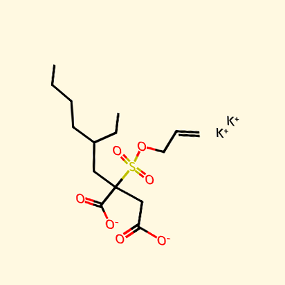 C=CCOS(=O)(=O)C(CC(=O)[O-])(CC(CC)CCCC)C(=O)[O-].[K+].[K+]